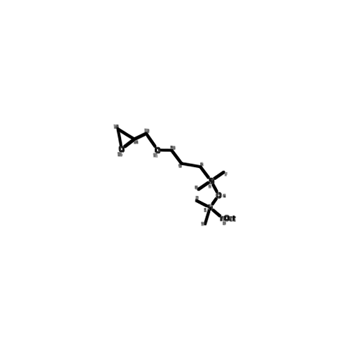 CCCCCCCC[Si](C)(C)O[Si](C)(C)CCCOCC1CO1